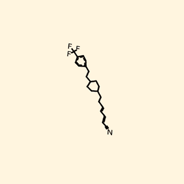 N#CC=CC=CCCC1CCC(CCc2ccc(C(F)(F)F)cc2)CC1